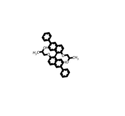 CC(O)COc1ccc2cc(-c3ccccc3)ccc2c1-c1c(OCC(C)O)ccc2cc(-c3ccccc3)ccc12